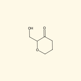 O=C1CCCOC1CO